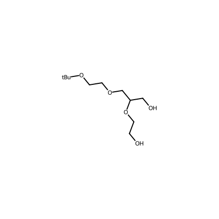 CC(C)(C)OCCOCC(CO)OCCO